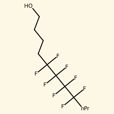 CCCC(F)(F)C(F)(F)C(F)(F)C(F)(F)CCCCO